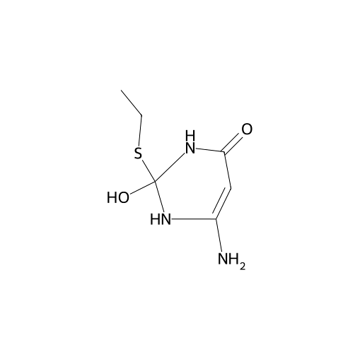 CCSC1(O)NC(=O)C=C(N)N1